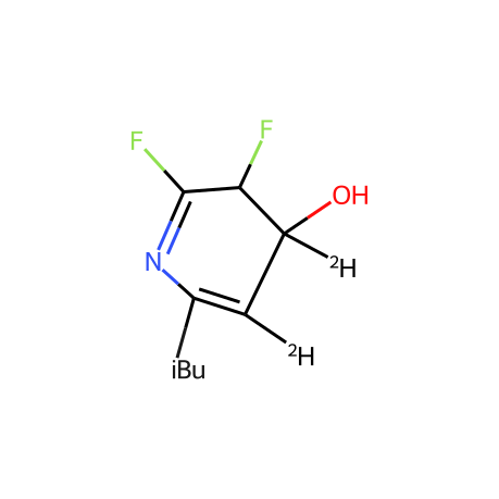 [2H]C1=C(C(C)CC)N=C(F)C(F)C1([2H])O